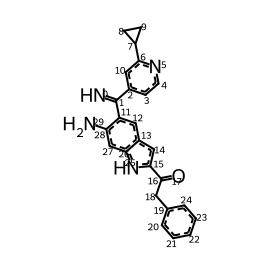 N=C(c1ccnc(C2CC2)c1)c1cc2cc(C(=O)Cc3ccccc3)[nH]c2cc1N